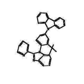 CC1(C)c2cc(-n3c4ccccc4c4ccccc43)ccc2-n2c(-c3ccccn3)nc3cccc1c32